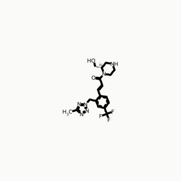 Cc1nnn(Cc2cc(C(F)(F)F)ccc2C=CC(=O)N2CCNC[C@H]2CO)n1